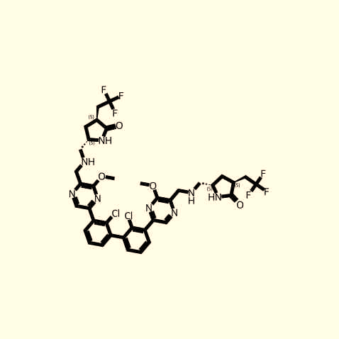 COc1nc(-c2cccc(-c3cccc(-c4cnc(CNC[C@@H]5C[C@@H](CC(F)(F)F)C(=O)N5)c(OC)n4)c3Cl)c2Cl)cnc1CNC[C@@H]1C[C@@H](CC(F)(F)F)C(=O)N1